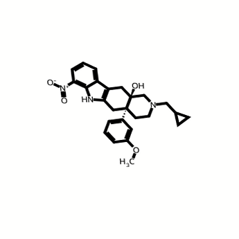 COc1cccc([C@@]23CCN(CC4CC4)C[C@@]2(O)Cc2c([nH]c4c([N+](=O)[O-])cccc24)C3)c1